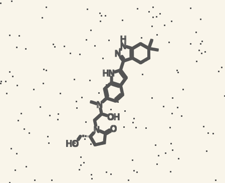 CN(c1ccc2cc(-c3n[nH]c4c3CCC(C)(C)C4)[nH]c2c1)C(O)CN1C(=O)CC[C@@H]1CO